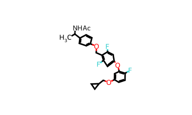 CC(=O)NC(C)c1ccc(OCc2c(F)cc(Oc3cc(OCC4CC4)ccc3F)cc2F)cc1